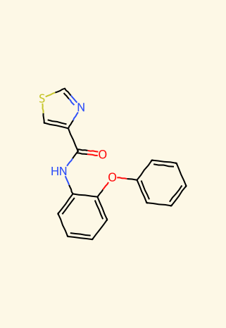 O=C(Nc1ccccc1Oc1ccccc1)c1cscn1